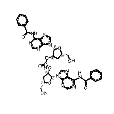 O=C(Nc1ncnc2c1ncn2[C@@H]1O[C@H](CO)C[C@H]1O[PH](=O)O[C@@H]1C[C@@H](CO)O[C@H]1n1cnc2c(NC(=O)c3ccccc3)ncnc21)c1ccccc1